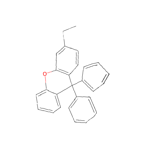 CCc1ccc2c(c1)Oc1ccccc1C2(c1ccccc1)c1ccccc1